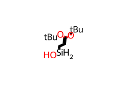 CC(C)(C)OC(=CC[SiH2]O)OC(C)(C)C